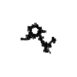 CC[C@H](C)[C@H]1NC(=O)CNC(=O)CNC(=O)[C@@H]([C@@H](C)[C@@H](O)CO)NC(=O)C2C[C@H](OCNC(=O)OCc3ccc(NC(=O)[C@H](CCCNC(N)=O)NC(=O)[C@@H](NC(=O)CCCCCN4C(=O)C=CC4=O)C(C)C)cc3)CN2C(=O)[C@H](CC(=O)O)NC(=O)[C@H](CSc2[nH]c3cc(OC)ccc3c2C)NC(=O)CNC1=O